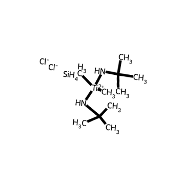 CC(C)(C)[NH][Ti+2]([CH3])([CH3])[NH]C(C)(C)C.[Cl-].[Cl-].[SiH4]